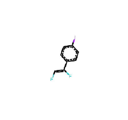 FC=C(F)c1ccc(I)cc1